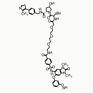 CCCOc1cccc(Oc2cc3c(cc2NS(=O)(=O)c2ccc(C(=O)NCCOCCOCCOCC(=O)NC(C(=O)N4C[C@H](O)C[C@H]4C(=O)NCc4ccc(-c5scnc5C)cc4)C(C)(C)C)cc2)n(C)c(=O)n3C)c1